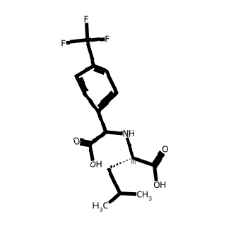 CC(C)C[C@H](NC(C(=O)O)c1ccc(C(F)(F)F)cc1)C(=O)O